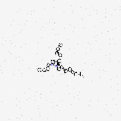 C=C/C(=C\C=C(/C)c1cccc(Oc2ccc(C=O)cc2)c1)N(c1ccc(-c2cccc(Oc3ccc(C)cc3)c2)cc1)c1ccc(-c2cccc(Oc3ccc(C=O)cc3)c2)cc1